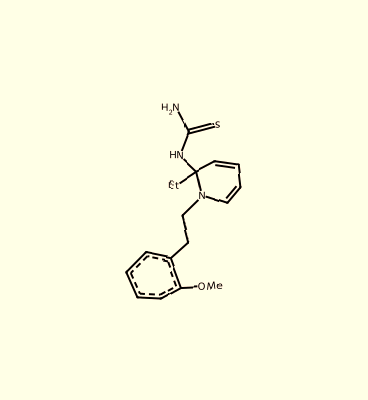 CCC1(NC(N)=S)C=CC=CN1CCc1ccccc1OC